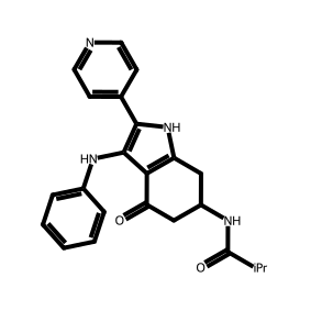 CC(C)C(=O)NC1CC(=O)c2c([nH]c(-c3ccncc3)c2Nc2ccccc2)C1